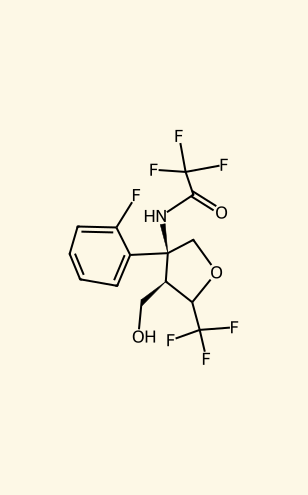 O=C(N[C@@]1(c2ccccc2F)COC(C(F)(F)F)[C@H]1CO)C(F)(F)F